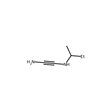 CCC(C)NC#CN